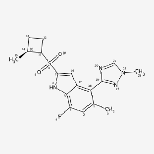 Cc1cc(F)c2[nH]c(S(=O)(=O)C3CC[C@@H]3C)cc2c1-c1ncn(C)n1